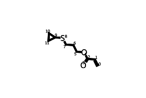 C=CC(=O)OCCCSC1CC1